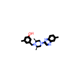 Cc1cc(O)cc(CN2[C@H](C)CN(c3cnc4cc(C)ccc4n3)C[C@@H]2C)c1